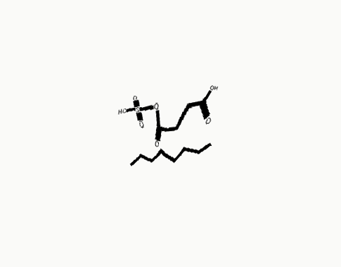 CCCCCCCC.O=C(O)CCC(=O)OS(=O)(=O)O